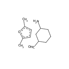 Cc1ccc(C)o1.NC1CCCC(C=O)C1